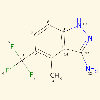 Cc1c(C(F)(F)F)ccc2[nH]nc(N)c12